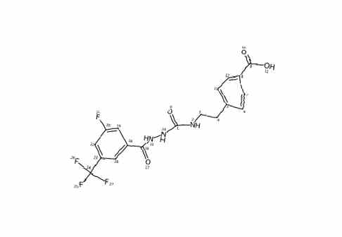 O=C(NCCc1ccc(C(=O)O)cc1)NNC(=O)c1cc(F)cc(C(F)(F)F)c1